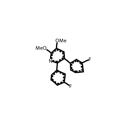 COc1cc(-c2cccc(F)c2)c(-c2cccc(F)c2)nc1OC